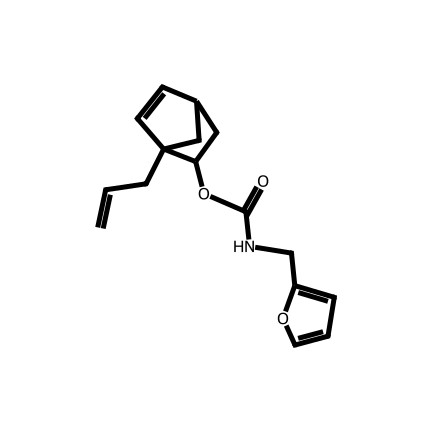 C=CCC12C=CC(CC1OC(=O)NCc1ccco1)C2